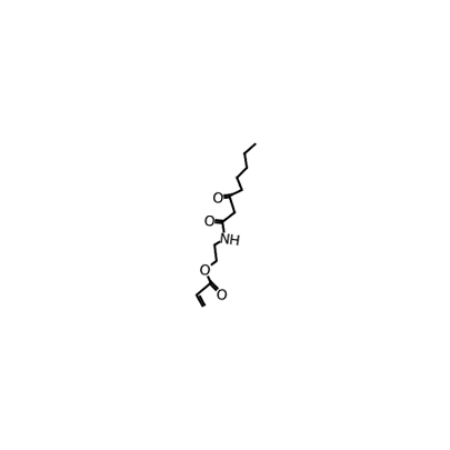 C=CC(=O)OCCNC(=O)CC(=O)CCCCC